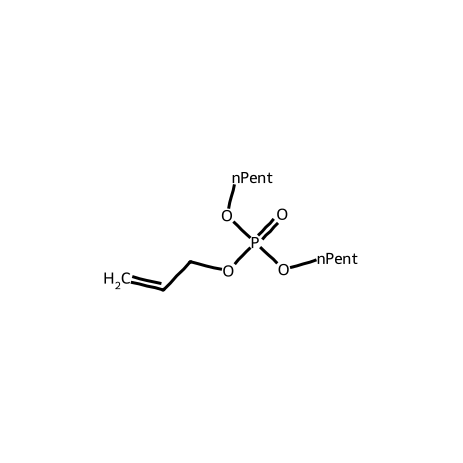 C=CCOP(=O)(OCCCCC)OCCCCC